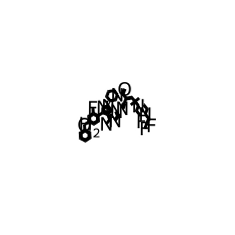 CC(C)(C=C(C#N)C(=O)N1CCC[C@H](n2nc(-c3ccc(Oc4ccccc4)cc3F)c3c(N)ncnc32)C1)N1CCN(CC(F)(F)F)CC1